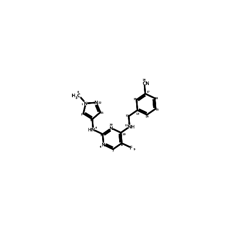 Cn1cc(Nc2ncc(F)c(NCc3cccc(C#N)c3)n2)cn1